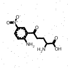 Nc1ccc([N+](=O)[O-])cc1C(=O)CCC(N)C(=O)O